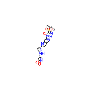 CS(=O)(=O)c1cncc(C(=O)NCc2cc3nc(-c4cccc(NCc5cnc6c(c5)OCO6)n4)ccc3cn2)c1